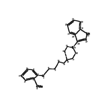 COc1c[c]ccc1OCCCCN1CCN(c2n[nH]c3ccccc23)CC1